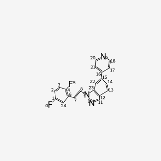 Fc1ccc(F)c(C=Cn2ncc3ccc(-c4ccncc4)cc32)c1